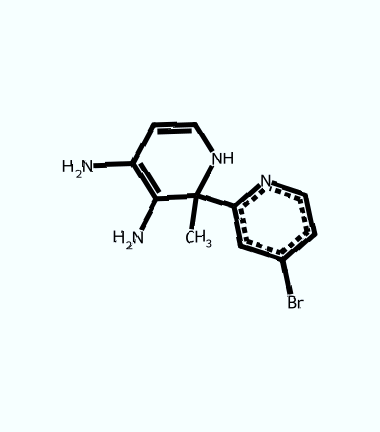 CC1(c2cc(Br)ccn2)NC=CC(N)=C1N